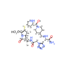 C[C@H]1C(S[C@@H]2CN[C@H](C(=O)N3CCC(CNCC(N)=O)CC3)C2)=C(C(=O)O)N2C(=O)[C@H]([C@@H](C)NC(=O)Cn3cnnn3)C12